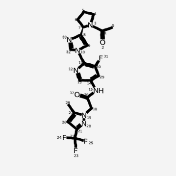 CC(=O)N1CCC[C@@H]1c1cn(-c2ncc(NC(=O)Cn3nc(C(F)(F)F)cc3C)cc2F)cn1